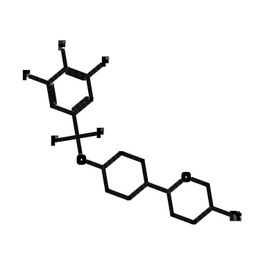 CCC1CCC(C2CCC(OC(F)(F)c3cc(F)c(F)c(F)c3)CC2)OC1